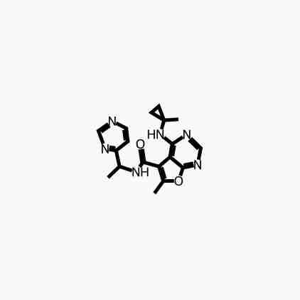 Cc1oc2ncnc(NC3(C)CC3)c2c1C(=O)NC(C)c1ccncn1